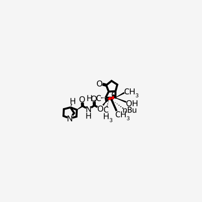 CCCC[C@]1(C)C[C@@H](OC(=O)NC(=O)[C@H]2CN3CC[C@@H]2C3)[C@@]2(C)C3C(=O)CCC3(CC[C@H]2C)[C@@H](C)[C@@H]1O